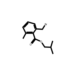 Cc1cccc(CBr)c1C(=O)OCC(C)C